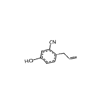 C=CCc1ccc(O)cc1C#N